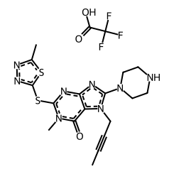 CC#CCn1c(N2CCNCC2)nc2nc(Sc3nnc(C)s3)n(C)c(=O)c21.O=C(O)C(F)(F)F